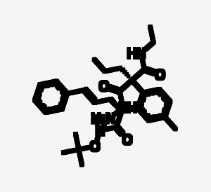 CCC[C@](C(=O)NN)(C(=O)NCC)c1ccc(C)cc1[C@H](C/C=C/c1ccccc1)C(=O)NOC(C)(C)C